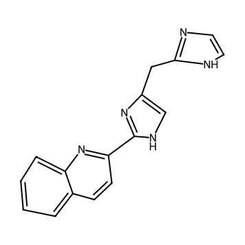 c1ccc2nc(-c3nc(Cc4ncc[nH]4)c[nH]3)ccc2c1